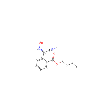 CCCCOC(=O)c1ccccc1C(C#N)=NO